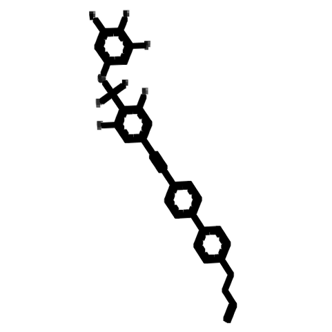 C=CCCc1ccc(-c2ccc(C#Cc3cc(F)c(C(F)(F)Oc4cc(F)c(F)c(F)c4)c(F)c3)cc2)cc1